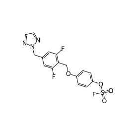 O=S(=O)(F)Oc1ccc(OCc2c(F)cc(Cn3nccn3)cc2F)cc1